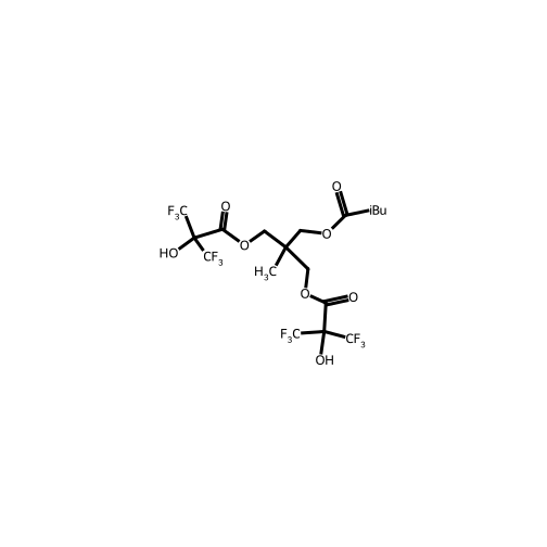 CCC(C)C(=O)OCC(C)(COC(=O)C(O)(C(F)(F)F)C(F)(F)F)COC(=O)C(O)(C(F)(F)F)C(F)(F)F